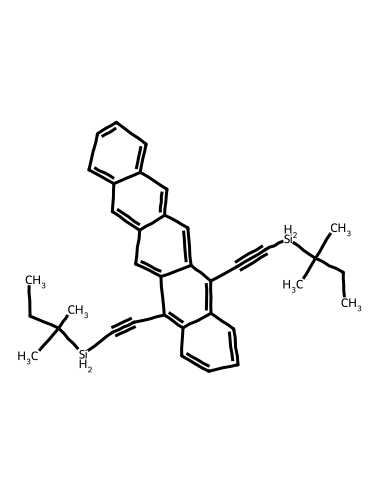 CCC(C)(C)[SiH2]C#Cc1c2ccccc2c(C#C[SiH2]C(C)(C)CC)c2cc3cc4ccccc4cc3cc12